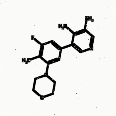 Cc1c(F)cc(-c2cncc(N)c2N)cc1N1CCOCC1